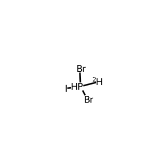 [2H][PH](Br)(Br)I